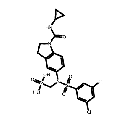 O=C(NC1CC1)N1CCc2cc(N(CP(=O)(O)O)S(=O)(=O)c3cc(Cl)cc(Cl)c3)ccc21